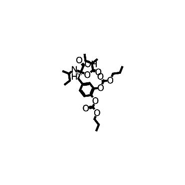 CCCOC(=O)Oc1ccc(C[C@](NC(C)CC)(OC(=O)C(C)CC)C(=O)O)cc1OC(=O)OCCC